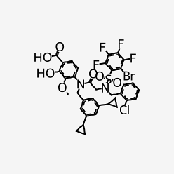 COc1c(N(Cc2cc(C3CC3)cc(C3CC3)c2)C(=O)CN(Cc2ccccc2Cl)S(=O)(=O)c2c(F)c(F)c(F)c(F)c2Br)ccc(C(=O)O)c1O